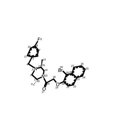 C[C@@H]1CN(Cc2ccc(F)cc2)[C@@H](C)CN1C(=O)COc1ccc2ccccc2c1Br